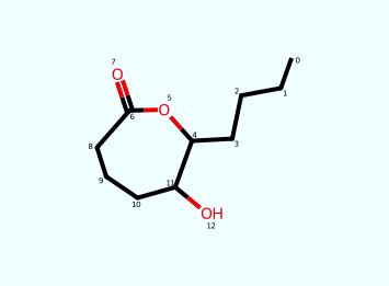 CCCCC1OC(=O)CCCC1O